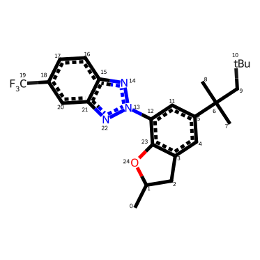 CC1Cc2cc(C(C)(C)CC(C)(C)C)cc(-n3nc4ccc(C(F)(F)F)cc4n3)c2O1